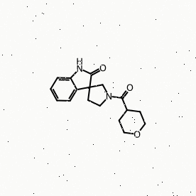 O=C(C1CCOCC1)N1CCC2(C1)C(=O)Nc1ccccc12